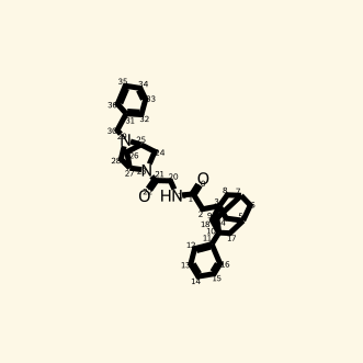 O=C(CC12CC3CC(C1)CC(c1ccccc1)(C3)C2)NCC(=O)N1CC2CC1CN2Cc1ccccc1